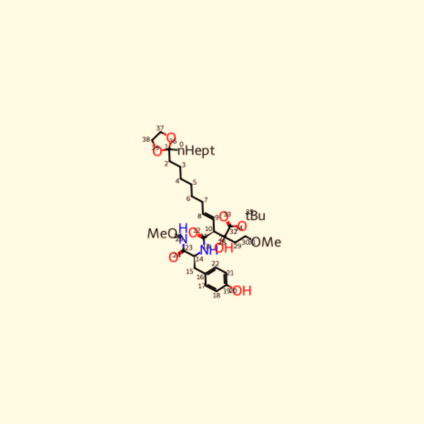 CCCCCCCC1(CCCCCC/C=C/[C@H](C(=O)N[C@@H](Cc2ccc(O)cc2)C(=O)NOC)[C@@](O)(CCOC)C(=O)OC(C)(C)C)OCCO1